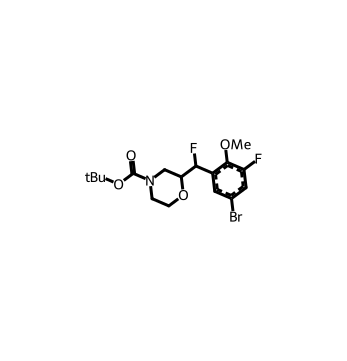 COc1c(F)cc(Br)cc1C(F)C1CN(C(=O)OC(C)(C)C)CCO1